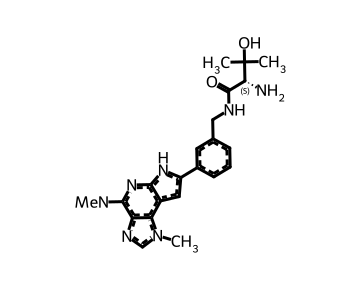 CNc1nc2[nH]c(-c3cccc(CNC(=O)[C@@H](N)C(C)(C)O)c3)cc2c2c1ncn2C